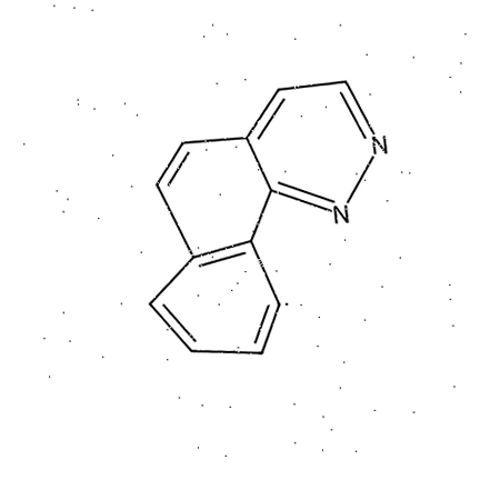 [c]1cccc2ccc3ccnnc3c12